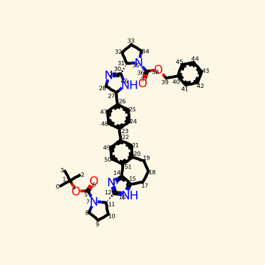 CC(C)(C)OC(=O)N1CCC[C@H]1c1nc2c([nH]1)CCCc1cc(-c3ccc(C4CN=C([C@@H]5CCCN5C(=O)OCc5ccccc5)N4)cc3)ccc1-2